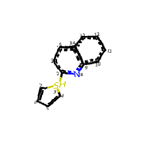 [c]1cc([SH]2C=CC=C2)nc2ccccc12